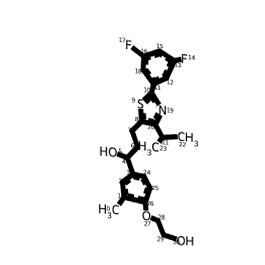 Cc1cc(C(O)CCc2sc(-c3cc(F)cc(F)c3)nc2C(C)C)ccc1OCCO